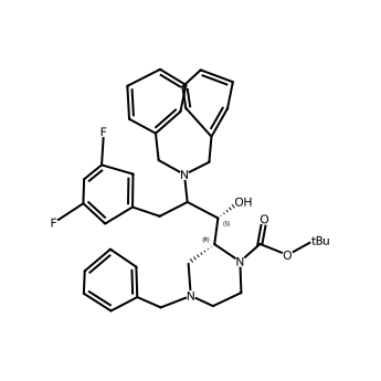 CC(C)(C)OC(=O)N1CCN(Cc2ccccc2)C[C@@H]1[C@@H](O)C(Cc1cc(F)cc(F)c1)N(Cc1ccccc1)Cc1ccccc1